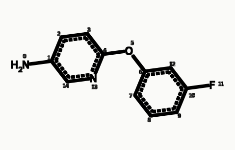 Nc1ccc(Oc2cccc(F)c2)nc1